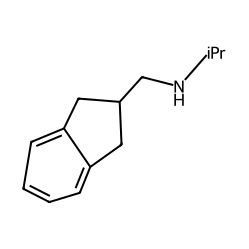 CC(C)NCC1Cc2ccccc2C1